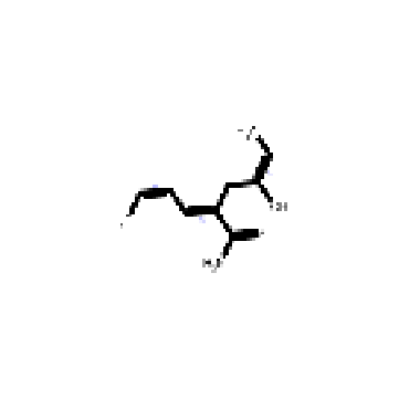 C/C=C\C=C(/C/C(O)=C\C)C(N)=S